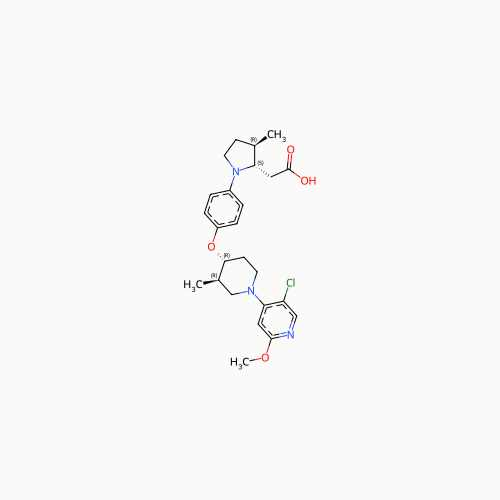 COc1cc(N2CC[C@@H](Oc3ccc(N4CC[C@@H](C)[C@@H]4CC(=O)O)cc3)[C@H](C)C2)c(Cl)cn1